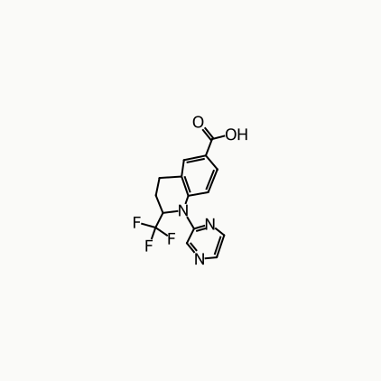 O=C(O)c1ccc2c(c1)CCC(C(F)(F)F)N2c1cnccn1